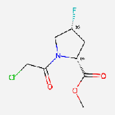 COC(=O)[C@H]1C[C@@H](F)CN1C(=O)CCl